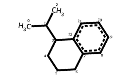 CC(C)[C]1CCCc2ccccc21